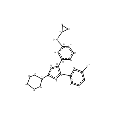 Fc1cccc(-c2nc(N3CCCCC3)sc2-c2ccnc(NC3CC3)n2)c1